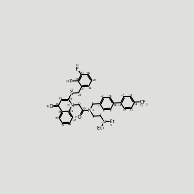 CCN(CC)CCN(Cc1ccc(-c2ccc(C(F)(F)F)cc2)cc1)C(=O)Cn1c(SCc2cccc(F)c2F)cc(=O)c2ccccc21